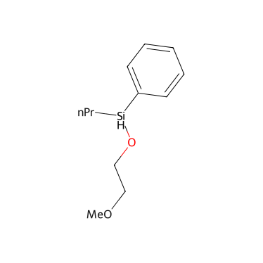 CCC[SiH](OCCOC)c1ccccc1